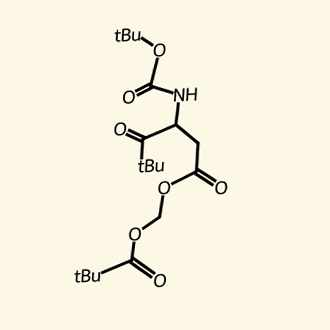 CC(C)(C)OC(=O)NC(CC(=O)OCOC(=O)C(C)(C)C)C(=O)C(C)(C)C